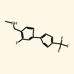 CNCc1ccc(-c2ccc(C(F)(F)F)cc2)cc1F